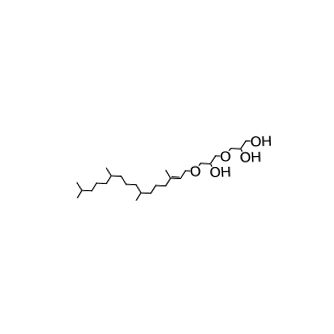 C/C(=C\COCC(O)COCC(O)CO)CCCC(C)CCCC(C)CCCC(C)C